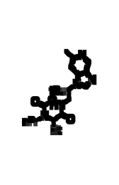 CCCN(C(=O)OC(C)(C)C)C(CC)C(=O)NCCn1cnc2cnc(C)cc21